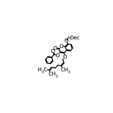 CCCCCCCCCCOc1cccc2c(OCC=C(C)CCC=C(C)C)c(OC(=O)c3ccccc3)c(=O)oc12